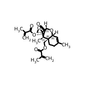 C=C(C)C(=O)OC[C@]12CCC(C)=C[C@H]1O[C@@H]1C(=O)[C@@H](OC(=O)C(=C)C)[C@@]2(C)[C@]12CO2